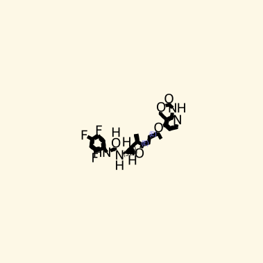 C=C1/C(=C\C=C(/C)Oc2ccnc3c2COC(=O)N3)O[C@@H]2[C@@H](NC(O)Nc3cc(F)c(F)cc3F)[C@H]12